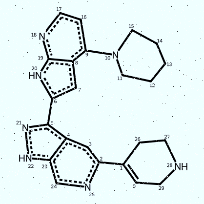 C1=C(c2cc3c(-c4cc5c(N6CCCCC6)ccnc5[nH]4)n[nH]c3cn2)CCNC1